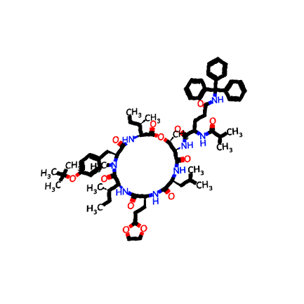 CC[C@H](C)[C@@H]1NC(=O)[C@H](Cc2ccc(OC(C)(C)C)cc2)N(C)C(=O)[C@H]([C@@H](C)CC)NC(=O)[C@H](CCC2OCCO2)NC(=O)[C@H](CC(C)C)NC(=O)[C@@H](NC(=O)C(CCC(=O)NC(c2ccccc2)(c2ccccc2)c2ccccc2)NC(=O)C(C)C)[C@@H](C)OC1=O